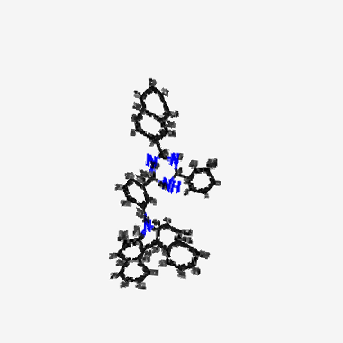 c1ccc(C2N=C(c3ccc4ccccc4c3)N=C(c3cccc(-n4c5ccc6ccccc6c5c5c6ccccc6ccc54)c3)N2)cc1